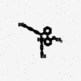 C#CC#CC#CP(C#CC#CC#C)c1ccccc1-c1c(C)cccc1OC